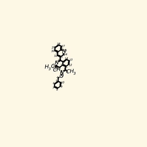 CC(=NOCc1ccccc1)c1cccc2c1CC(C)(C)N=C2c1cnc2ccccc2c1